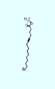 COC(=O)CCCC#CCCCCCCCCBr